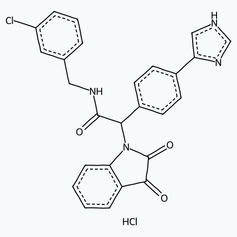 Cl.O=C1C(=O)N(C(C(=O)NCc2cccc(Cl)c2)c2ccc(-c3c[nH]cn3)cc2)c2ccccc21